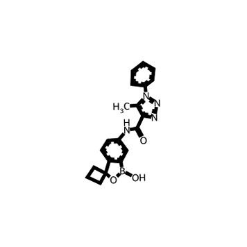 Cc1c(C(=O)Nc2ccc3c(c2)B(O)OC32CCC2)nnn1-c1ccccc1